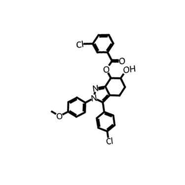 COc1ccc(-n2nc3c(c2-c2ccc(Cl)cc2)CCC(O)C3OC(=O)c2cccc(Cl)c2)cc1